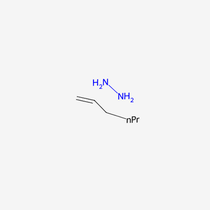 C=CCCCC.NN